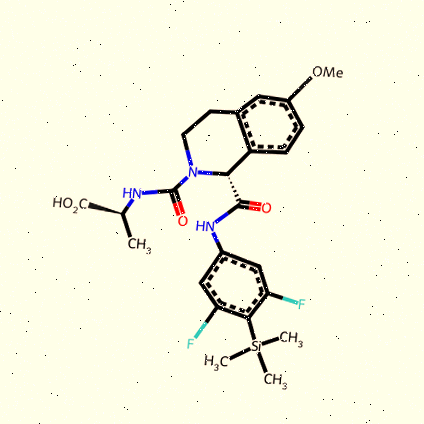 COc1ccc2c(c1)CCN(C(=O)N[C@@H](C)C(=O)O)[C@H]2C(=O)Nc1cc(F)c([Si](C)(C)C)c(F)c1